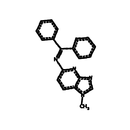 Cn1cnc2nc(N=C(c3ccccc3)c3ccccc3)ccc21